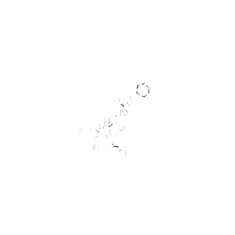 CC1(C)OC2[C@@H](CC(=O)O)O[C@H](CNC(=O)OCc3ccccc3)[C@H]2O1